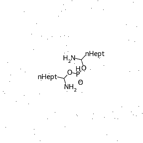 CCCCCCCC(N)O[PH](=O)OC(N)CCCCCCC